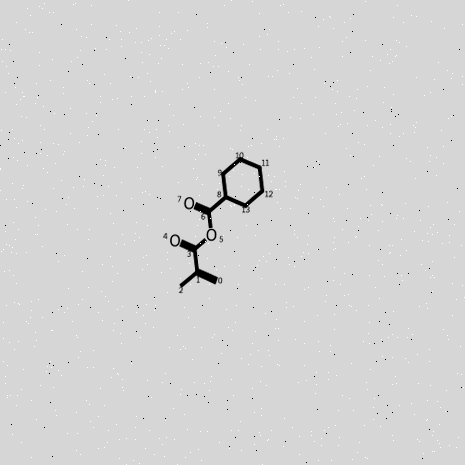 C=C(C)C(=O)OC(=O)C1CCCCC1